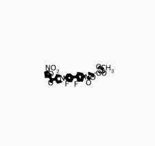 CS(=O)(=O)OC[C@H]1CN(c2ccc(-c3ccc(N4CCC(C(=O)c5ccc([N+](=O)[O-])o5)CC4)c(F)c3)c(F)c2)C(=O)O1